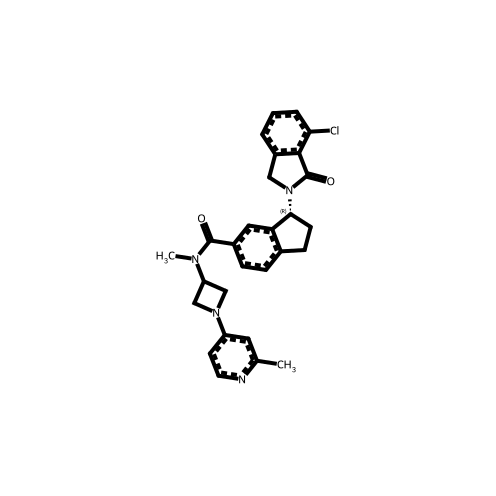 Cc1cc(N2CC(N(C)C(=O)c3ccc4c(c3)[C@H](N3Cc5cccc(Cl)c5C3=O)CC4)C2)ccn1